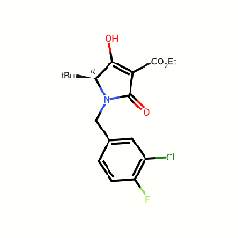 CCOC(=O)C1=C(O)[C@H](C(C)(C)C)N(Cc2ccc(F)c(Cl)c2)C1=O